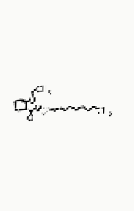 [CH2]CCCCCCCCCOOC(=O)c1ccccc1OCC